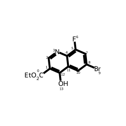 CCOC(=O)c1cnc2c(F)cc(Br)cc2c1O